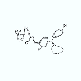 CC(C)(C)OC(=O)C=Cc1ccc(C(=C2CCCCCC2)c2ccc(O)cc2)cc1F